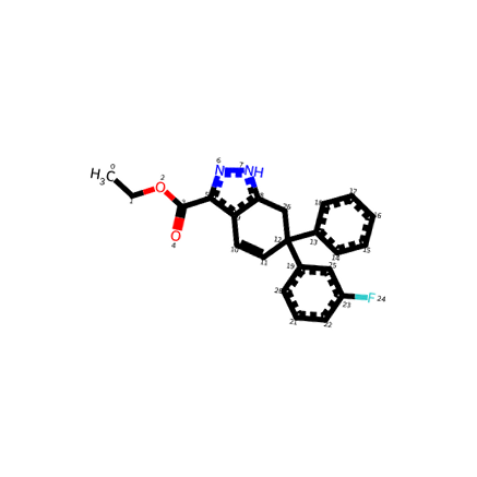 CCOC(=O)c1n[nH]c2c1C=CC(c1ccccc1)(c1cccc(F)c1)C2